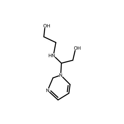 OCCNC(CO)N1C=CC=NC1